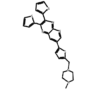 CN1CCN(Cc2ccc(-c3cnc4nc(-c5cccs5)c(-c5cccs5)nc4c3)s2)CC1